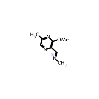 C/N=C/c1ncc(C)nc1OC